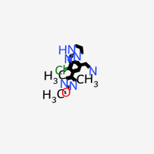 COc1nc(C)c(-c2cc(CC#N)c3c(nc4n3CCCN4)c2Cl)c(C)n1